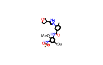 COc1c(NC(=O)c2ccc(C)c(-n3cc(C4CCOC4)nn3)c2)cc(C(C)(C)C)cc1NS(C)(=O)=O